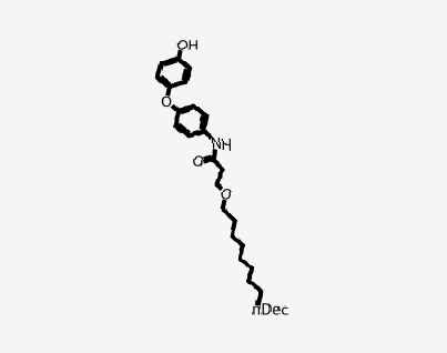 CCCCCCCCCCCCCCCCCCOCCC(=O)Nc1ccc(Oc2ccc(O)cc2)cc1